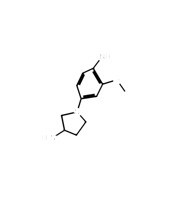 CCOc1cc(N2CCC(N)C2)ccc1N